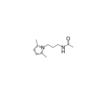 CC(=O)NCCCn1c(C)ccc1C